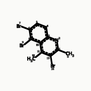 Cc1nc2ccc(Br)c(Br)c2c(C)c1Br